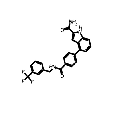 NC(=O)c1cc2c(-c3ccc(C(=O)NCc4cccc(C(F)(F)F)c4)cc3)cccc2[nH]1